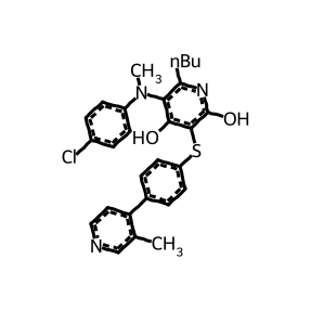 CCCCc1nc(O)c(Sc2ccc(-c3ccncc3C)cc2)c(O)c1N(C)c1ccc(Cl)cc1